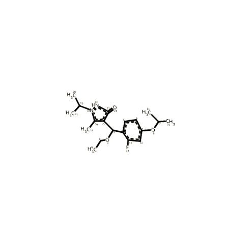 CCOC(c1ccc(OC(C)C)cc1F)c1c(C)n(C(C)C)[nH]c1=O